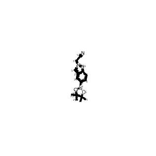 CC1(C)OB(c2ccc3nn(CC#N)cc3c2)OC1(C)C